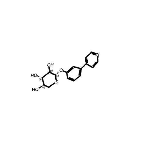 O[C@@H]1[C@@H](O)[C@H](Oc2cccc(-c3ccncc3)c2)SC[C@H]1O